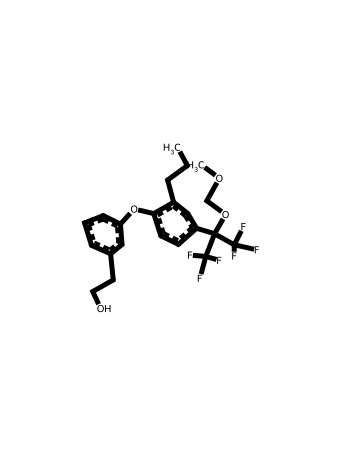 CCCc1cc(C(OCOC)(C(F)(F)F)C(F)(F)F)ccc1Oc1cccc(CCO)c1